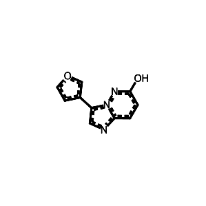 Oc1ccc2ncc(-c3ccoc3)n2n1